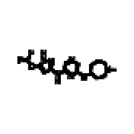 CN1CCC[C@H](Oc2cncc(Nc3cc(OC(F)F)[nH]n3)n2)CC1